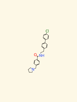 O=C(NCCc1ccc(-c2ccc(Cl)cc2)cc1)c1ccc(CN2CCCC2)cc1